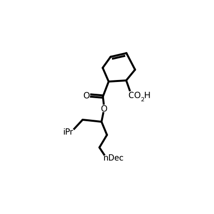 CCCCCCCCCCCCC(CC(C)C)OC(=O)C1CC=CCC1C(=O)O